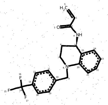 C=CC(=O)N[C@@H]1CCN(Cc2ccc(C(F)(F)F)cc2)c2ccccc21